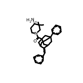 CC1(C)CN(C(=O)C23CC4CC(c5ccccc5)(CC(C2)C4=Cc2ccccc2)C3)CC[C@@H]1N